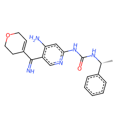 C[C@@H](NC(=O)Nc1cc(N)c(C(=N)C2=CCOCC2)cn1)c1ccccc1